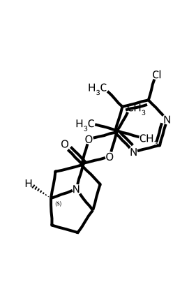 Cc1c(Cl)ncnc1OC1CC2CC[C@@H](C1)N2C(=O)OC(C)(C)C